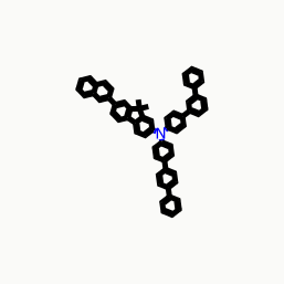 CC1(C)c2cc(-c3ccc4ccccc4c3)ccc2-c2ccc(N(c3ccc(-c4ccc(-c5ccccc5)cc4)cc3)c3ccc(-c4cccc(-c5ccccc5)c4)cc3)cc21